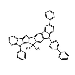 CC1(C)c2cc3c(cc2-n2cc4c5ccccc5n(-c5ccccc5)c4c21)c1cc(-c2ccccc2)ccc1n3-c1ccc(-c2ccccc2)cc1